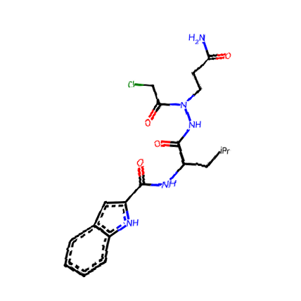 CC(C)CC(NC(=O)c1cc2ccccc2[nH]1)C(=O)NN(CCC(N)=O)C(=O)CCl